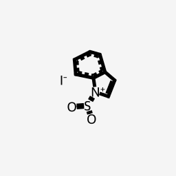 O=S(=O)=[N+]1C=Cc2ccccc21.[I-]